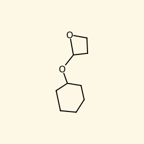 C1CCC(OC2CCO2)CC1